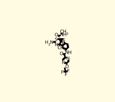 CNC(=O)[C@]12C[C@H]1[C@@](C)(c1cc(NC(=O)c3cnc(OCC(F)(F)F)cn3)ccc1F)N=C(N)S2